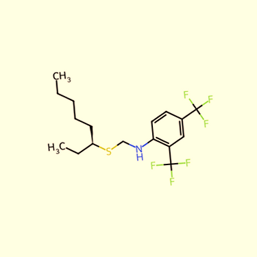 CCCCC[C@H](CC)SCNc1ccc(C(F)(F)F)cc1C(F)(F)F